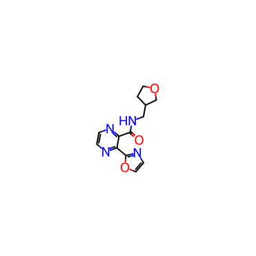 O=C(NCC1CCOC1)c1nccnc1-c1ncco1